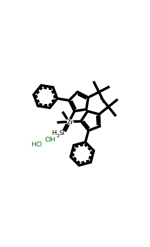 CC(C)(C)C1=CC(c2ccccc2)=[C]([Zr]([CH3])([CH3])(=[SiH2])[C]2=C(c3ccccc3)C=C(C(C)(C)C)C2)C1.Cl.Cl